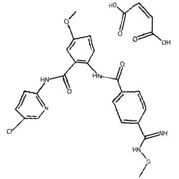 CONC(=N)c1ccc(C(=O)Nc2ccc(OC)cc2C(=O)Nc2ccc(Cl)cn2)cc1.O=C(O)/C=C\C(=O)O